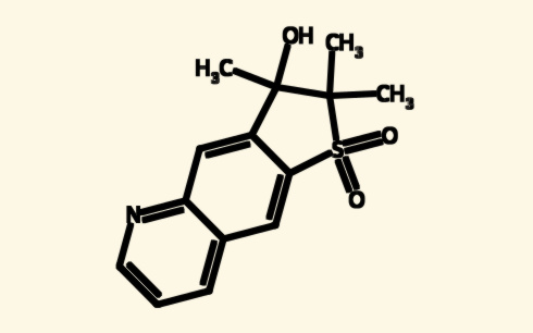 CC1(O)c2cc3ncccc3cc2S(=O)(=O)C1(C)C